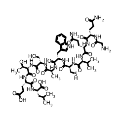 CC(C)C[C@H](NC(=O)[C@H](CCC(=O)O)NC(=O)[C@@H](NC(=O)[C@H](CO)NC(=O)[C@H](C)NC(=O)[C@H](Cc1c[nH]c2ccccc12)NC(=O)[C@H](CS)NC(=O)[C@@H](NC(=O)[C@H](CCC(N)=O)NC(=O)[C@H](CCC(N)=O)NC(=O)CN)C(C)C)[C@@H](C)O)C(=O)O